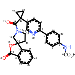 O=C(O)Nc1ccc(-c2ccc(C3(C(=O)N4CCC5(C4)OC(=O)c4ccccc45)CC3)cn2)cc1